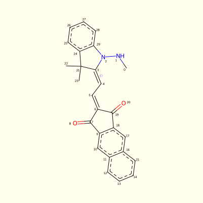 CNN1/C(=C/C=C2C(=O)c3cc4ccccc4cc3C2=O)C(C)(C)c2ccccc21